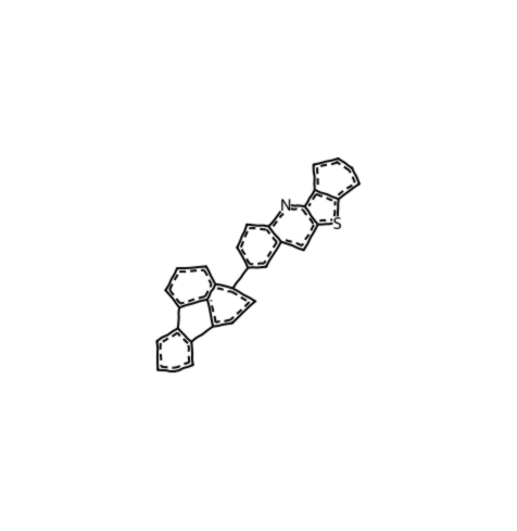 c1ccc2c(c1)-c1cccc3c(-c4ccc5nc6c(cc5c4)sc4ccccc46)ccc-2c13